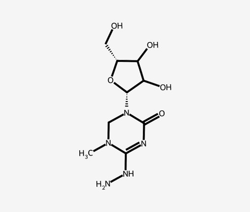 CN1CN([C@@H]2O[C@H](CO)C(O)C2O)C(=O)N=C1NN